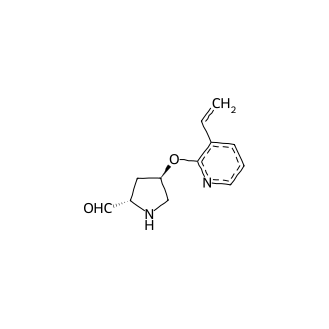 C=Cc1cccnc1O[C@H]1CN[C@H](C=O)C1